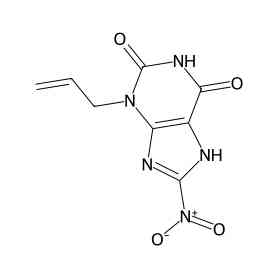 C=CCn1c(=O)[nH]c(=O)c2[nH]c([N+](=O)[O-])nc21